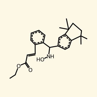 CCOC(=O)C=Cc1ccccc1C(NO)c1ccc2c(c1)C(C)(C)CCC2(C)C